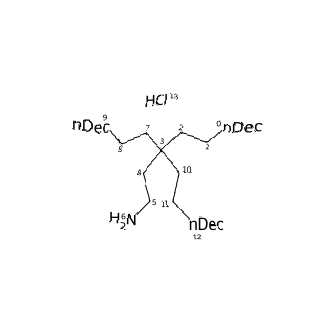 CCCCCCCCCCCCC(CCN)(CCCCCCCCCCCC)CCCCCCCCCCCC.Cl